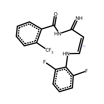 N=C(/C=C\Nc1c(F)cccc1F)NC(=O)c1ccccc1C(F)(F)F